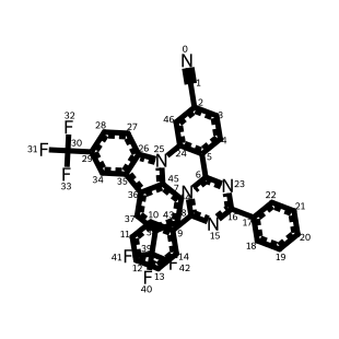 N#Cc1ccc(-c2nc(-c3ccccc3)nc(-c3ccccc3)n2)c(-n2c3ccc(C(F)(F)F)cc3c3cc(C(F)(F)F)ccc32)c1